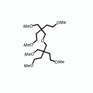 COCCC(CCOC)(COC)COCC(CCOC)(CCOC)COC